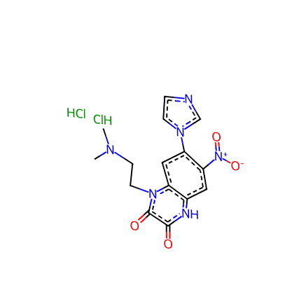 CN(C)CCn1c(=O)c(=O)[nH]c2cc([N+](=O)[O-])c(-n3ccnc3)cc21.Cl.Cl